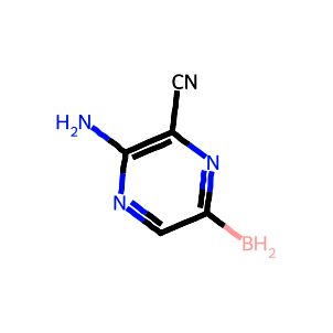 Bc1cnc(N)c(C#N)n1